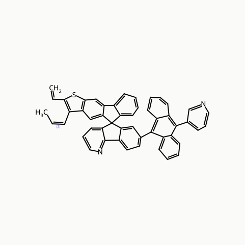 C=Cc1sc2cc3c(cc2c1/C=C\C)C1(c2ccccc2-3)c2cc(-c3c4ccccc4c(-c4cccnc4)c4ccccc34)ccc2-c2ncccc21